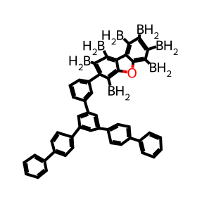 Bc1c(B)c(B)c2c(oc3c(B)c(-c4cccc(-c5cc(-c6ccc(-c7ccccc7)cc6)cc(-c6ccc(-c7ccccc7)cc6)c5)c4)c(B)c(B)c32)c1B